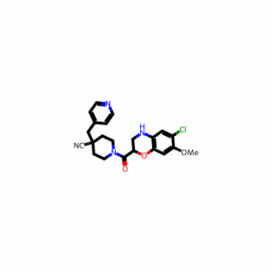 COc1cc2c(cc1Cl)NCC(C(=O)N1CCC(C#N)(Cc3ccncc3)CC1)O2